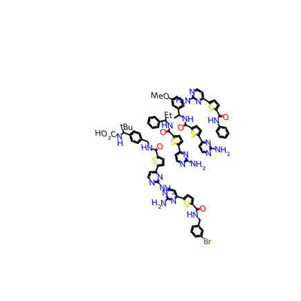 CC(C)(C)C(NC(=O)O)c1ccc(CNC(=O)c2ccc(-c3ccnc(N)n3)s2)cc1.CCC(NC(=O)c1ccc(-c2ccnc(N)n2)s1)c1ccccc1.COc1cccc(C(C)NC(=O)c2ccc(-c3ccnc(N)n3)s2)c1.Nc1nccc(-c2ccc(C(=O)NCc3cccc(Br)c3)s2)n1.Nc1nccc(-c2ccc(C(=O)Nc3ccccc3)s2)n1